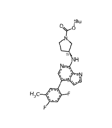 Cc1cc(-c2cnc(N[C@H]3CCN(C(=O)OC(C)(C)C)C3)c3nccn23)c(F)cc1F